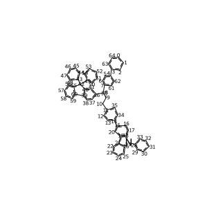 c1ccc(-c2ccc([C@@H](CCc3ccc(-c4ccc5c(c4)c4ccccc4n5-c4ccccc4)cc3)c3ccc4c(c3)C(c3ccccc3)(c3ccccc3)c3ccccc3-4)cc2)cc1